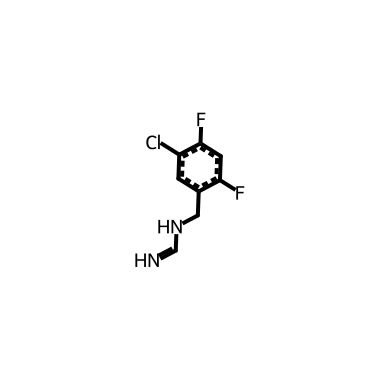 N=CNCc1cc(Cl)c(F)cc1F